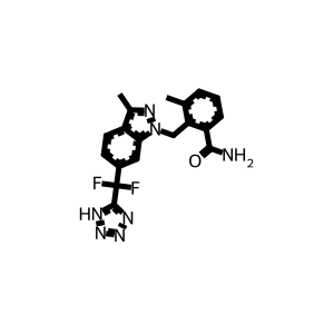 Cc1cccc(C(N)=O)c1Cn1nc(C)c2ccc(C(F)(F)c3nnn[nH]3)cc21